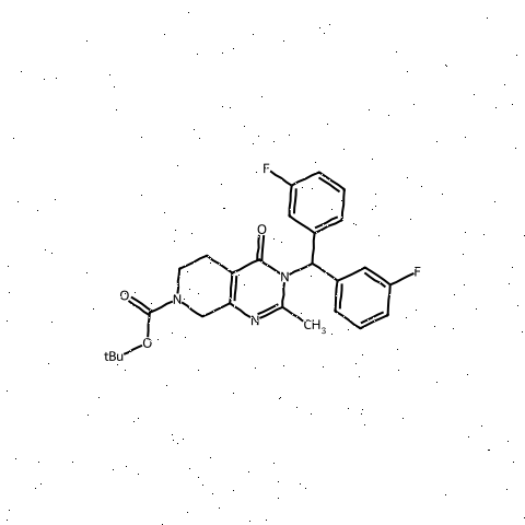 Cc1nc2c(c(=O)n1C(c1cccc(F)c1)c1cccc(F)c1)CCN(C(=O)OC(C)(C)C)C2